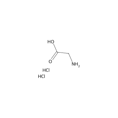 Cl.Cl.NCC(=O)O